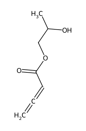 C=C=CC(=O)OCC(C)O